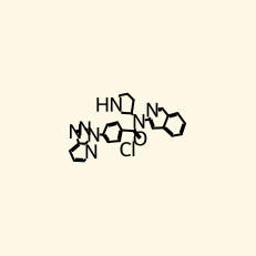 O=C(c1ccc(-n2nnc3cccnc32)cc1Cl)N(c1cc2ccccc2cn1)[C@@H]1CCCNC1